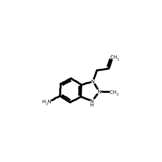 C=CCN1c2ccc(N)cc2NN1C